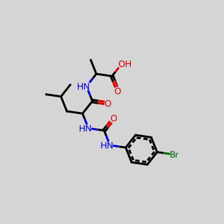 CC(C)CC(NC(=O)Nc1ccc(Br)cc1)C(=O)NC(C)C(=O)O